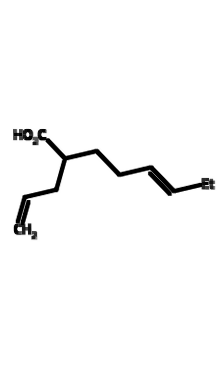 C=CCC(CCC=CCC)C(=O)O